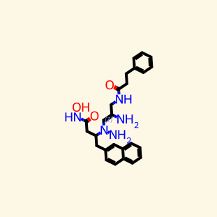 N/C(=C\N(N)C(CC(=O)NO)Cc1ccc2ccccc2c1)CNC(=O)CCc1ccccc1